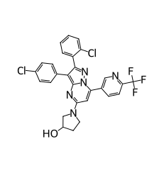 OC1CCN(c2cc(-c3ccc(C(F)(F)F)nc3)n3nc(-c4ccccc4Cl)c(-c4ccc(Cl)cc4)c3n2)C1